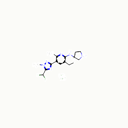 Cc1nc2c(cc1-c1nc(C(F)F)n(C)n1)CC[C@@]1(CCNC1)N2.Cl.Cl